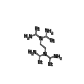 CCC(N)N(CCN(C(N)CC)C(N)CC)C(N)CC